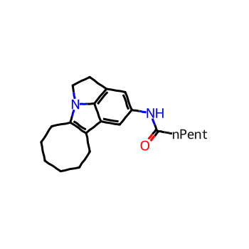 CCCCCC(=O)Nc1cc2c3c(c1)c1c(n3CC2)CCCCCC1